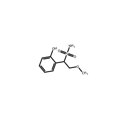 COCC(c1ccccc1O)S(N)(=O)=O